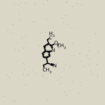 CCc1cc2ccc(C(C#N)CC)cc2nc1OC